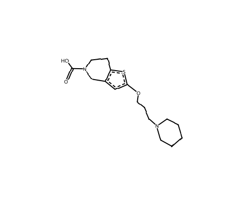 O=C(O)N1CCc2sc(OCCCN3CCCCC3)cc2C1